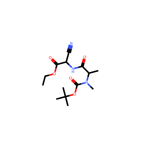 CCOC(=O)C(C#N)NC(=O)C(C)N(C)C(=O)OC(C)(C)C